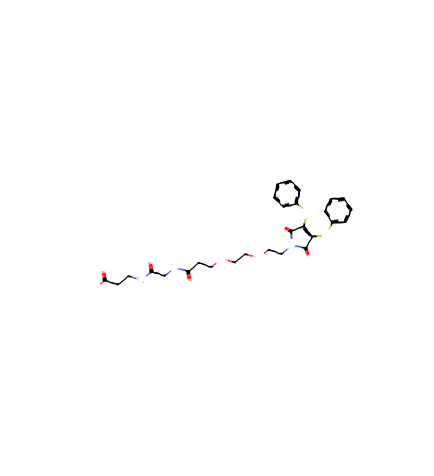 O=C(O)CCNC(=O)CNC(=O)CCOCCOCCN1C(=O)C(Sc2ccccc2)=C(Sc2ccccc2)C1=O